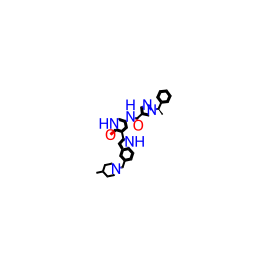 CC1CCN(Cc2ccc3[nH]c(-c4cc(NC(=O)c5cnn([C@H](C)c6ccccc6)c5)c[nH]c4=O)cc3c2)CC1